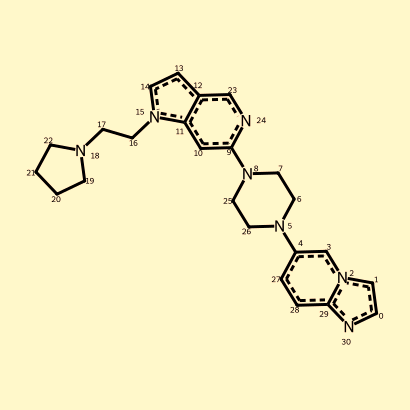 c1cn2cc(N3CCN(c4cc5c(ccn5CCN5CCCC5)cn4)CC3)ccc2n1